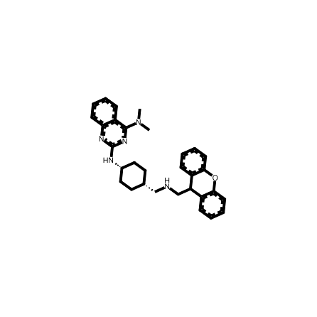 CN(C)c1nc(N[C@H]2CC[C@@H](CNCC3c4ccccc4Oc4ccccc43)CC2)nc2ccccc12